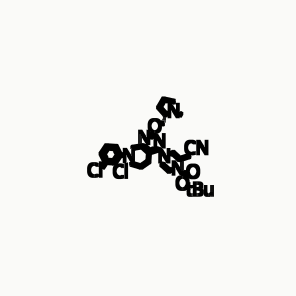 CN1CCC[C@H]1COc1nc2c(c(N3CCN(C(=O)OC(C)(C)C)C(CC#N)C3)n1)CCCN(c1cccc(Cl)c1Cl)C2